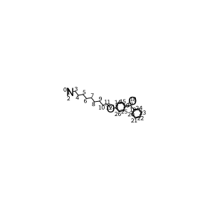 CN(C)CCCCCCCCCOc1ccc(C(=O)c2ccccc2)cc1